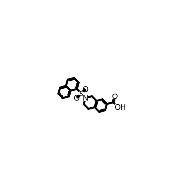 O=C(O)c1ccc2c(c1)CN(S(=O)(=O)c1cccc3ccccc13)CC2